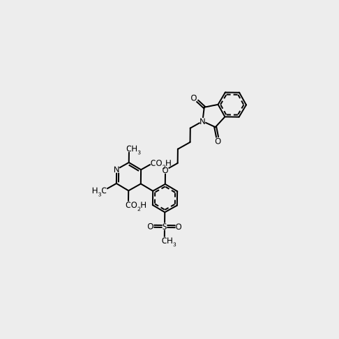 CC1=NC(C)=C(C(=O)O)C(c2cc(S(C)(=O)=O)ccc2OCCCCN2C(=O)c3ccccc3C2=O)C1C(=O)O